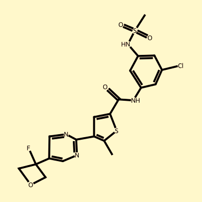 Cc1sc(C(=O)Nc2cc(Cl)cc(NS(C)(=O)=O)c2)cc1-c1ncc(C2(F)COC2)cn1